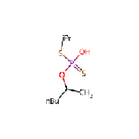 CCCCC(C)OP(O)(=S)SC(C)C